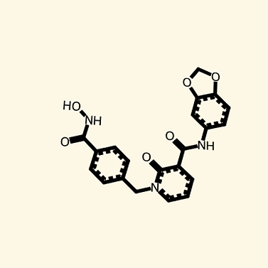 O=C(NO)c1ccc(Cn2cccc(C(=O)Nc3ccc4c(c3)OCO4)c2=O)cc1